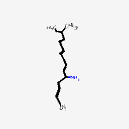 CCCCC(N)CCCCCCC(C)CC